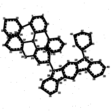 c1ccc(-c2cccc(-c3ccccc3)c2B2c3ccccc3Sc3cc(-n4c5ccccc5c5cc6c7ccccc7n(-c7ccccc7)c6cc54)ccc32)cc1